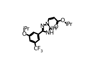 CC(C)OC(=O)/C=C\N1N=C(c2cc(OC(C)C)cc(C(F)(F)F)c2)NN1